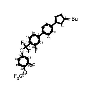 CCCCC1CCC(c2ccc(-c3ccc(C(F)(F)Oc4ccc(OC(F)(F)F)c(F)c4)c(F)c3)cc2)C1